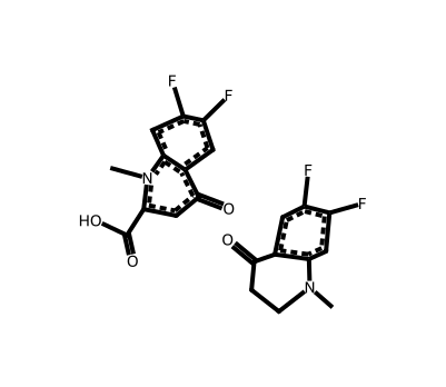 CN1CCC(=O)c2cc(F)c(F)cc21.Cn1c(C(=O)O)cc(=O)c2cc(F)c(F)cc21